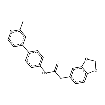 Cc1cc(-c2ccc(NC(=O)Cc3ccc4c(c3)OCO4)cc2)ccn1